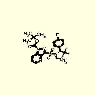 CCN([C@H](c1ccc(F)cc1)C(F)(F)F)S(=O)(=O)c1nn(C(=O)OC(C)(C)C)c2cccnc12